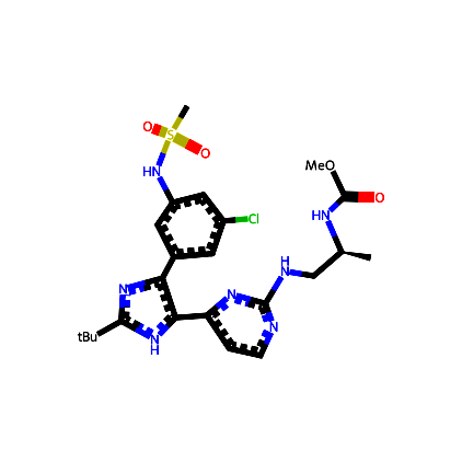 COC(=O)N[C@@H](C)CNc1nccc(-c2[nH]c(C(C)(C)C)nc2-c2cc(Cl)cc(NS(C)(=O)=O)c2)n1